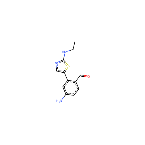 CCNc1ncc(-c2cc(N)ccc2C=O)s1